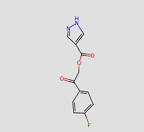 O=C(COC(=O)c1cn[nH]c1)c1ccc(F)cc1